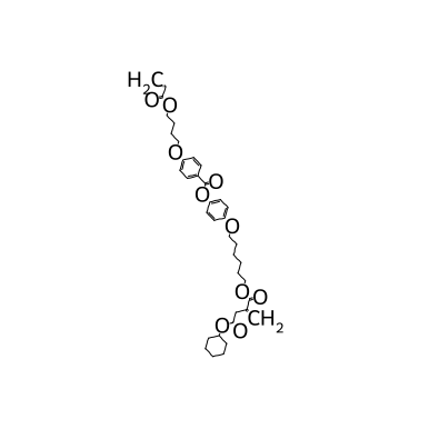 C=CC(=O)OCCCCOc1ccc(C(=O)Oc2ccc(OCCCCCCOC(=O)C(=C)CC(=O)OC3CCCCC3)cc2)cc1